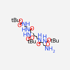 CC(C)(C)OC(=O)NCCNC(=O)[C@H](CCCCNC(=O)[C@H](CCN)NC(=O)OC(C)(C)C)NC(=O)OC(C)(C)C